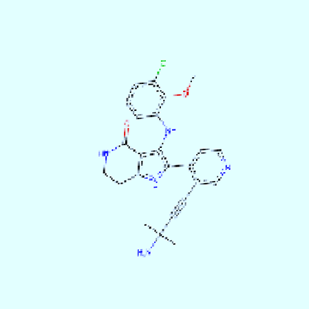 COc1c(Cl)cccc1Nc1c(-c2ccncc2C#CC(C)(C)N)[nH]c2c1C(=O)NCC2